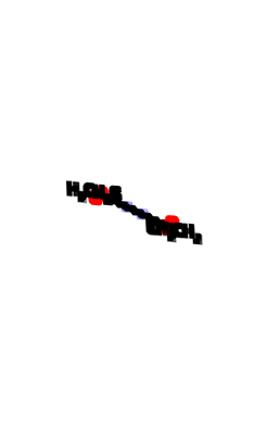 C=CC(=O)OCCCC(C=C)C/C=C/CC/C=C/CC(C=C)CCCOC(=O)C=C